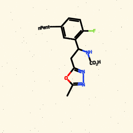 CCCCCc1ccc(F)c(C(Cc2nnc(C)o2)NC(=O)O)c1